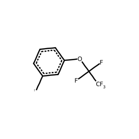 [CH]c1cccc(OC(F)(F)C(F)(F)F)c1